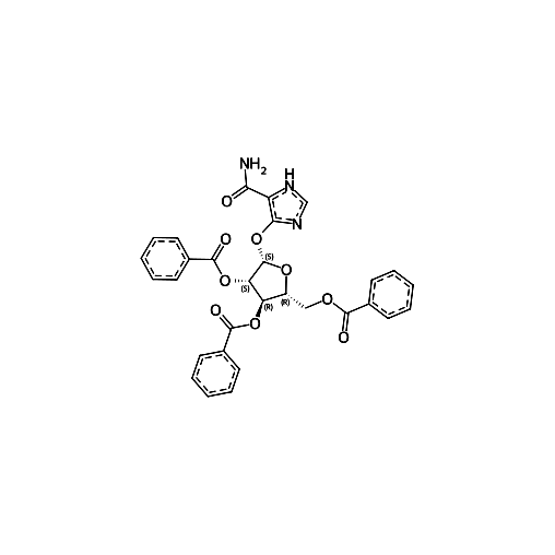 NC(=O)c1[nH]cnc1O[C@@H]1O[C@H](COC(=O)c2ccccc2)[C@@H](OC(=O)c2ccccc2)[C@@H]1OC(=O)c1ccccc1